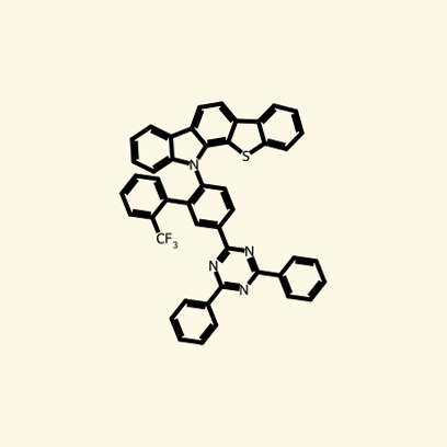 FC(F)(F)c1ccccc1-c1cc(-c2nc(-c3ccccc3)nc(-c3ccccc3)n2)ccc1-n1c2ccccc2c2ccc3c4ccccc4sc3c21